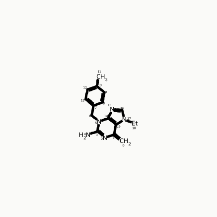 C=C1N=C(N)N(Cc2ccc(C)cc2)c2ncn(CC)c21